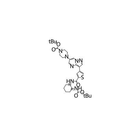 CC(C)(C)OC(=O)N[C@@H]1CCCC[C@@H]1NC(=O)c1cc(-c2cnn3cc(N4CCN(C(=O)OC(C)(C)C)CC4)cnc23)cs1